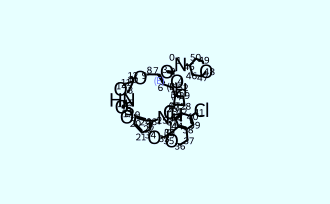 CN(C(=O)O[C@H]1/C=C/COC(C)(C)C(=O)NS(=O)(=O)c2ccc3c(c2)N(C[C@@H]2CC[C@H]21)C[C@]1(CO3)OCCc2cc(Cl)ccc21)C1CCOCC1